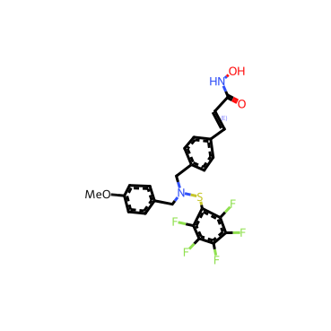 COc1ccc(CN(Cc2ccc(/C=C/C(=O)NO)cc2)Sc2c(F)c(F)c(F)c(F)c2F)cc1